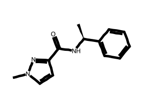 C[C@H](NC(=O)c1ccn(C)n1)c1ccccc1